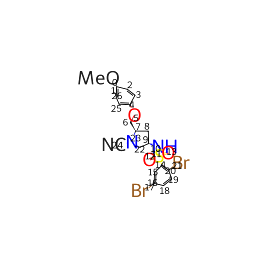 COc1ccc(OC[C@H]2C[C@@H](NS(=O)(=O)c3cc(Br)ccc3Br)CN2C#N)cc1